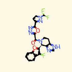 O=C(c1nnc(-c2ccn(C(F)F)n2)o1)N1CCc2[nH]cnc2[C@H]1c1oc2ccccc2c1F